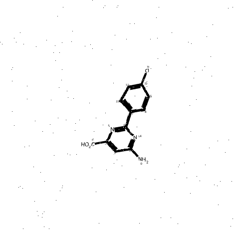 Nc1cc(C(=O)O)nc(-c2ccc(Cl)cc2)n1